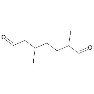 O=CCC(I)CCC(I)C=O